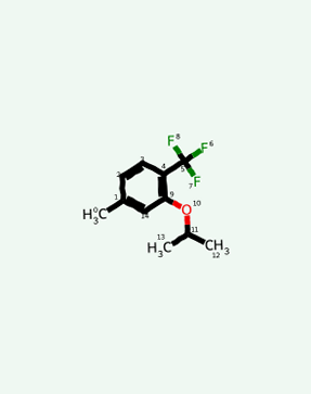 Cc1ccc(C(F)(F)F)c(OC(C)C)c1